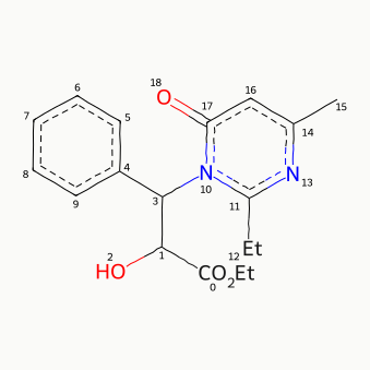 CCOC(=O)C(O)C(c1ccccc1)n1c(CC)nc(C)cc1=O